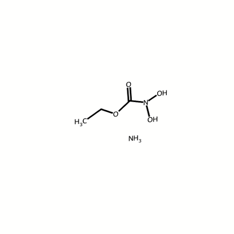 CCOC(=O)N(O)O.N